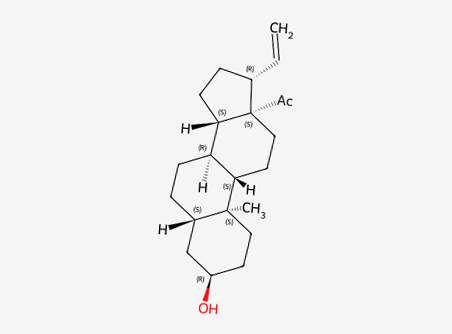 C=C[C@H]1CC[C@H]2[C@@H]3CC[C@H]4C[C@H](O)CC[C@]4(C)[C@H]3CC[C@]12C(C)=O